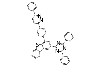 c1ccc(-c2ccc(-c3ccc(-c4cc(-c5nc(-c6ccccc6)nc(-c6ccccc6)n5)cc5c4sc4ccccc45)cc3)nn2)cc1